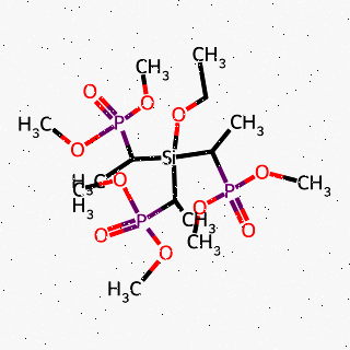 CCO[Si](C(C)P(=O)(OC)OC)(C(C)P(=O)(OC)OC)C(C)P(=O)(OC)OC